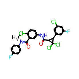 CN(C(=O)c1cc(NC(=O)C2C(c3cc(F)cc(Cl)c3)C2(Cl)Cl)ccc1Cl)c1ccc(F)cc1